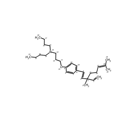 C=CC(C)(/C=C/c1ccc(OCCCN(CCCC)CCCC)cc1)CCC=C(C)C